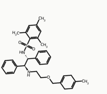 CC1=CCC(COCCN[C@@H](c2ccccc2)[C@H](NS(=O)(=O)c2c(C)cc(C)cc2C)c2ccccc2)=CC1